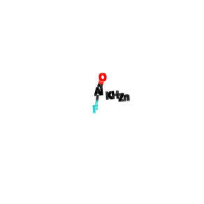 [KH].[O]=[Al][F].[Zn]